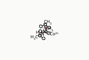 CC(=Nc1c(C2CCCCC2)cc(C)cc1C1CCCCC1)c1cccc(C(C)=Nc2c(C3CCCCC3)cc(C)cc2C2CCCCC2)n1.[Cl-].[Cl-].[Co+2]